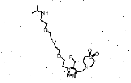 CC(C)NCCOCCOCCOCCn1nnc(CN2CCS(=O)(=O)CC2)c1CF